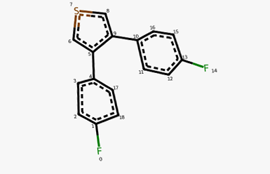 Fc1ccc(-c2cscc2-c2ccc(F)cc2)cc1